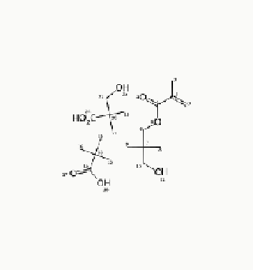 C=C(C)C(=O)OCC(C)(C)CO.CC(C)(C)C(=O)O.CC(C)(CO)C(=O)O